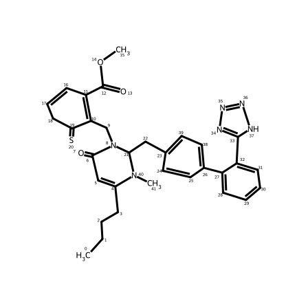 CCCCC1=CC(=O)N(CC2=C(C(=O)OC)C=CCC2=S)C(Cc2ccc(-c3ccccc3-c3nnn[nH]3)cc2)N1C